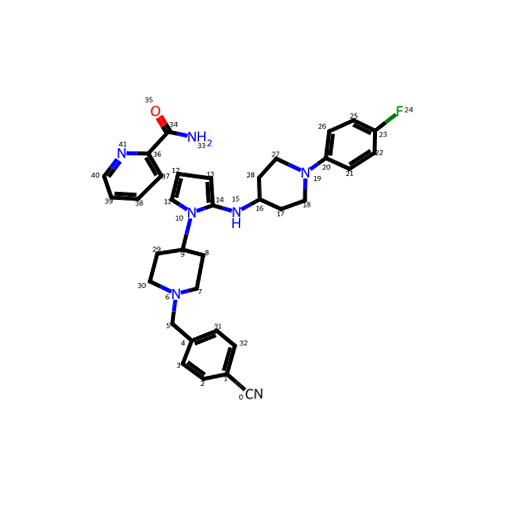 N#Cc1ccc(CN2CCC(n3cccc3NC3CCN(c4ccc(F)cc4)CC3)CC2)cc1.NC(=O)c1ccccn1